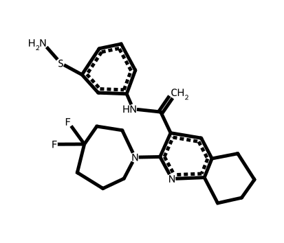 C=C(Nc1cccc(SN)c1)c1cc2c(nc1N1CCCC(F)(F)CC1)CCCC2